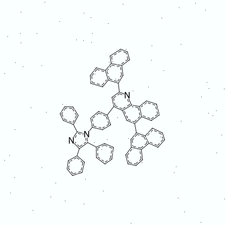 c1ccc(-c2nc(-c3ccccc3)n(-c3ccc(-c4cc(-c5cc6ccccc6c6ccccc56)nc5c4cc(-c4cc6ccccc6c6ccccc46)c4ccccc45)cc3)c2-c2ccccc2)cc1